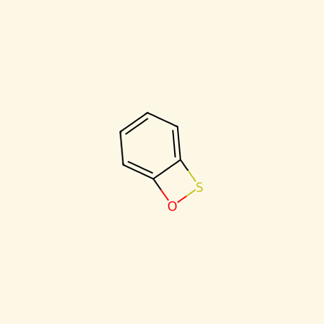 c1ccc2soc2c1